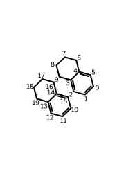 c1ccc2c(c1)CCCC2.c1ccc2c(c1)CCCC2